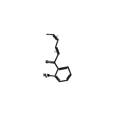 C/C=C\C=C\C(=O)c1ccccc1N